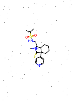 CNC(=S)C1(c2ccncc2)CCCCC1CCNS(=O)(=O)C(C)C